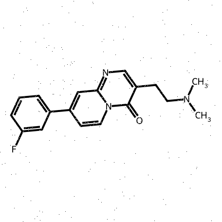 CN(C)CCc1cnc2cc(-c3cccc(F)c3)ccn2c1=O